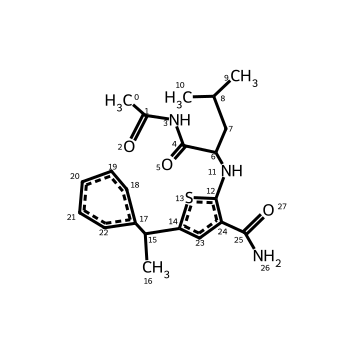 CC(=O)NC(=O)C(CC(C)C)Nc1sc(C(C)c2ccccc2)cc1C(N)=O